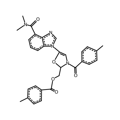 Cc1ccc(C(=O)OCC2OC(n3cnc4c(C(=O)N(C)C)cccc43)=CN2C(=O)c2ccc(C)cc2)cc1